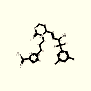 Cc1cc(C)cc(C(F)(F)C(O)/C=C/C2CCOC(=O)N2CCCc2ccc(C(=O)O)s2)c1